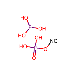 O=NOP(=O)(O)O.OP(O)O